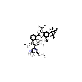 C=C/C=C(\C=C/C)C(=O)N(C)c1cccc(C(=O)Nc2c(Br)cc(C(F)(C(F)(F)F)C(F)(F)F)cc2OC(F)F)c1OC